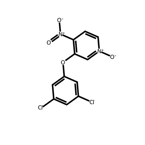 O=[N+]([O-])c1cc[n+]([O-])cc1Oc1cc(Cl)cc(Cl)c1